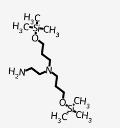 C[Si](C)(C)OCCCN(CCN)CCCO[Si](C)(C)C